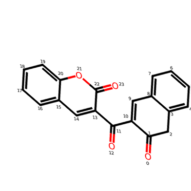 O=C1Cc2ccccc2C=C1C(=O)c1cc2ccccc2oc1=O